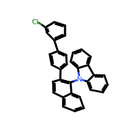 Clc1cccc(-c2ccc(-c3ccc4ccccc4c3-n3c4ccccc4c4ccccc43)cc2)c1